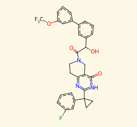 O=C(C(O)c1cccc(-c2cccc(OC(F)(F)F)c2)c1)N1CCc2nc(C3(c4cccc(F)c4)CC3)[nH]c(=O)c2C1